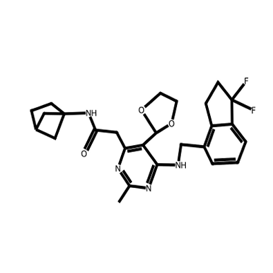 Cc1nc(CC(=O)NC23CCC(C2)C3)c(C2OCCO2)c(NCc2cccc3c2CCC3(F)F)n1